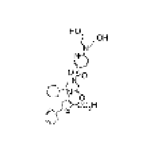 O=C(O)c1sc(-c2ccccc2)cc1N1C(=O)CN(S(=O)(=O)c2ccc(N(CCO)CCO)nc2)CC1C1CCCCC1